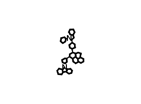 c1ccc(-n2c(-c3ccc(-c4cc(-c5cccc(-n6c7ccccc7c7ccccc76)c5)c5ccc6cccc7ccc4c5c76)cc3)cc3ccccc32)cc1